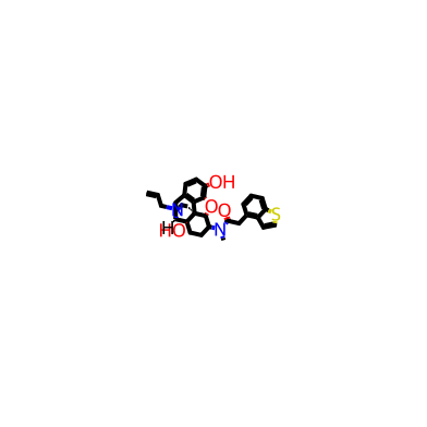 C=CCN1CC[C@]23c4c5ccc(O)c4OC2C(N(C)C(=O)Cc2cccc4sccc24)CC[C@@]3(O)[C@H]1C5